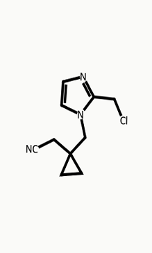 N#CCC1(Cn2ccnc2CCl)CC1